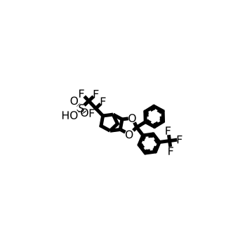 O=S(=O)(O)C(F)(F)C(F)(F)C1CC2CC1C1OC(c3ccccc3)(c3cccc(C(F)(F)F)c3)OC21